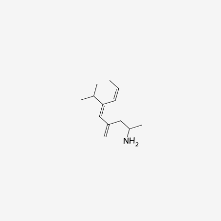 C=C(/C=C(\C=C/C)C(C)C)CC(C)N